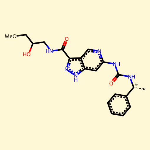 COCC(O)CNC(=O)c1n[nH]c2cc(NC(=O)N[C@H](C)c3ccccc3)ncc12